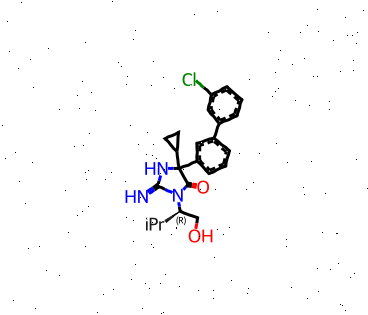 CC(C)[C@H](CO)N1C(=N)NC(c2cccc(-c3cccc(Cl)c3)c2)(C2CC2)C1=O